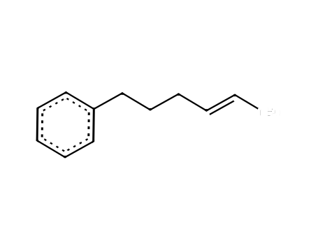 CCCCC=CCCCc1ccccc1